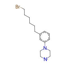 BrCCCCCCc1cccc(N2CC[N]CC2)c1